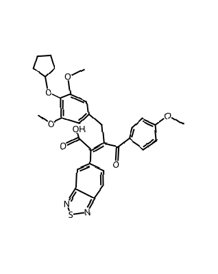 COc1ccc(C(=O)C(Cc2cc(OC)c(OC3CCCC3)c(OC)c2)=C(C(=O)O)c2ccc3nsnc3c2)cc1